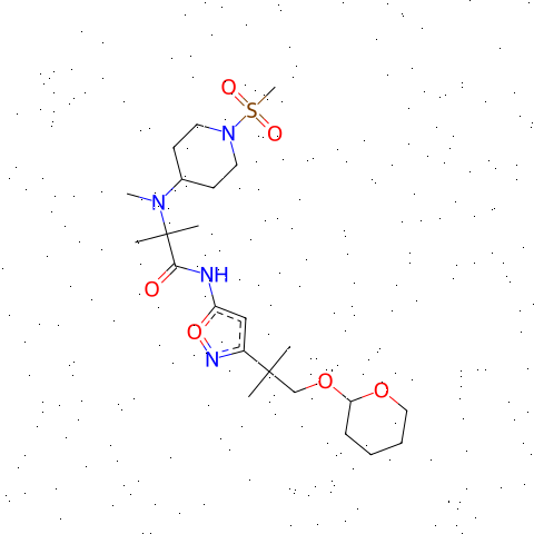 CN(C1CCN(S(C)(=O)=O)CC1)C(C)(C)C(=O)Nc1cc(C(C)(C)COC2CCCCO2)no1